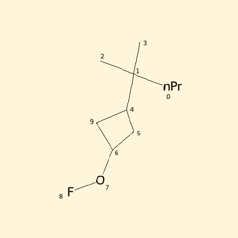 CCCC(C)(C)C1CC(OF)C1